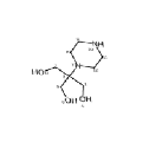 OCC(CO)(CO)N1CCNCC1